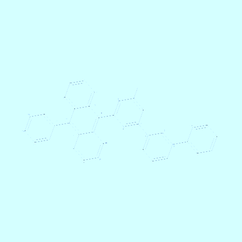 Clc1cc(-c2cccc(-c3ccccc3)c2)cc(-c2c3ccccc3c(-c3ccccc3)c3ccccc23)c1